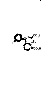 CCOC(=O)CO[C@@H](c1cccc(F)c1)C1CCCN(C(=O)O)[C@H]1C(C)(C)C